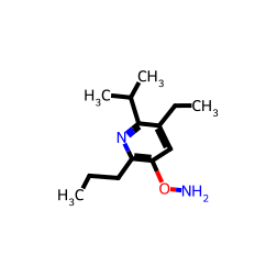 CCCc1nc(C(C)C)c(CC)cc1ON